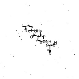 Cc1ccc(NC(=O)c2ccc(NN=C(C#N)C#N)cc2C)cn1